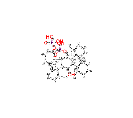 Cc1cccc(C)c1-c1c(O)c(-c2c(C)cccc2C)c(-c2c(C)cccc2C)c(OP(=O)(O)OP(=O)(O)O)c1-c1c(C)cccc1C